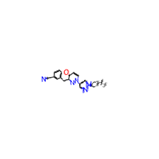 Cn1cc(-n2ccc(=O)c(Cc3cccc(C#N)c3)n2)cn1